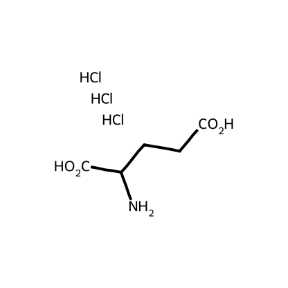 Cl.Cl.Cl.NC(CCC(=O)O)C(=O)O